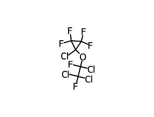 FC(Cl)(Cl)C(F)(Cl)OC1(Cl)C(F)(F)C1(F)F